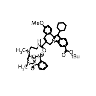 COc1ccc2c(c1)C=C(C(=O)NCCN(C)CCN(C)S(=O)(=O)c1ccccc1[N+](=O)O)Cn1c-2c(C2CCCCC2)c2ccc(C(=O)OC(C)(C)C)cc21